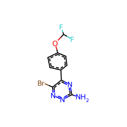 Nc1nnc(Br)c(-c2ccc(OC(F)F)cc2)n1